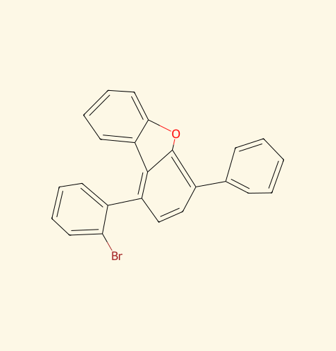 Brc1ccccc1-c1ccc(-c2ccccc2)c2oc3ccccc3c12